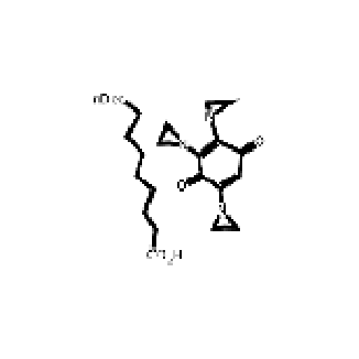 CCCCCCCCCCCCCCCCCC(=O)O.O=C1C=C(N2CC2)C(=O)C(N2CC2)=C1N1CC1